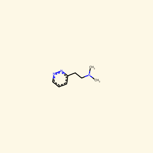 CN(C)CCc1cccnn1